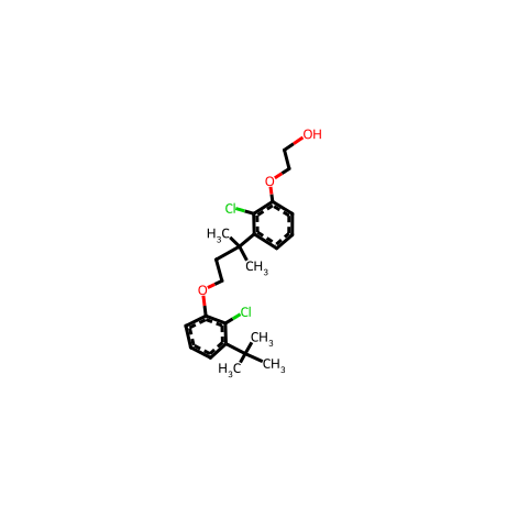 CC(C)(C)c1cccc(OCCC(C)(C)c2cccc(OCCO)c2Cl)c1Cl